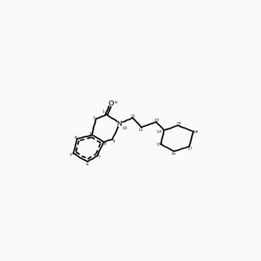 O=C1Cc2ccccc2CN1CCCC1CCCCC1